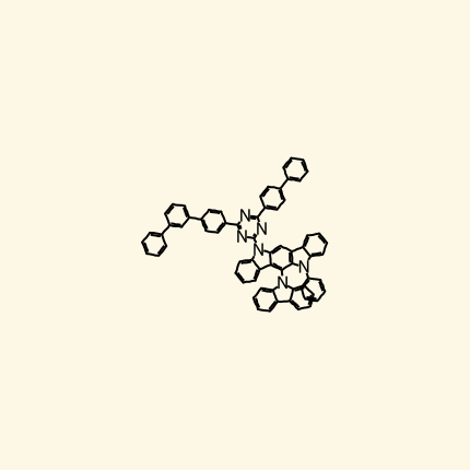 c1ccc(-c2ccc(-c3nc(-c4ccc(-c5cccc(-c6ccccc6)c5)cc4)nc(-n4c5ccccc5c5c(-n6c7ccccc7c7ccccc76)c6c(cc54)c4ccccc4n6-c4ccccc4)n3)cc2)cc1